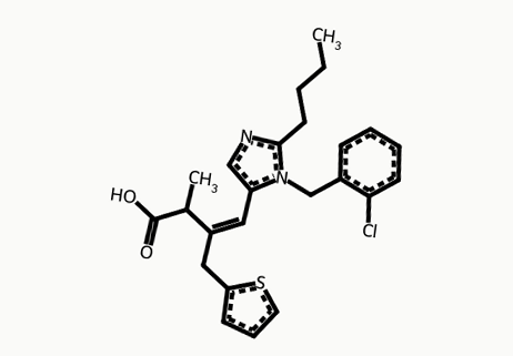 CCCCc1ncc(C=C(Cc2cccs2)C(C)C(=O)O)n1Cc1ccccc1Cl